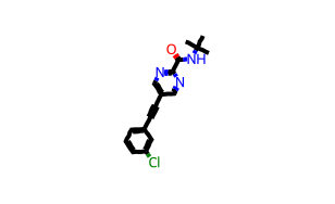 CC(C)(C)NC(=O)c1ncc(C#Cc2cccc(Cl)c2)cn1